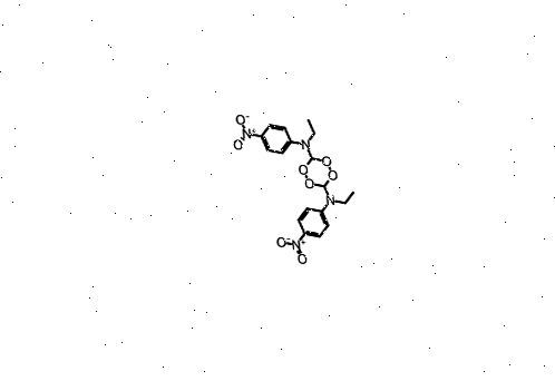 CCN(c1ccc([N+](=O)[O-])cc1)C1OOC(N(CC)c2ccc([N+](=O)[O-])cc2)OO1